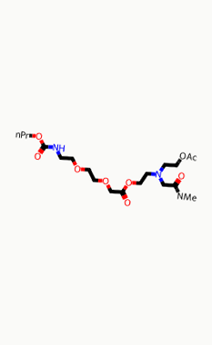 CCCOC(=O)NCCOCCOCC(=O)OCCN(CCOC(C)=O)CC(=O)NC